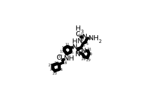 Cc1nc(N)cc(-c2c(Nc3cccc(NC(=O)Cc4ccccc4)c3)nc3ccccn23)n1